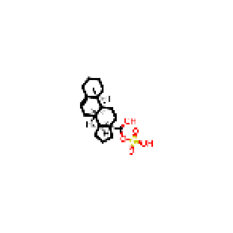 C[C@]12CCCCC1=CC[C@H]1[C@@H]3CCC[C@@]3(C(O)OS(=O)(=O)O)CC[C@@H]12